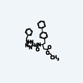 CCOC(=O)CC(Cc1ccc(-c2ccccc2)cc1)NC(=O)c1nnn(Cc2ccccc2)n1